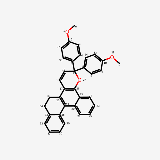 COc1ccc(C2(c3ccc(OC)cc3)C=Cc3c4c(c5ccccc5c3O2)-c2ccccc2CC4)cc1